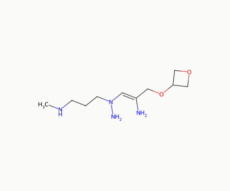 CNCCCN(N)/C=C(\N)COC1COC1